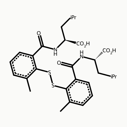 Cc1cccc(C(=O)N[C@@H](CC(C)C)C(=O)O)c1SSc1c(C)cccc1C(=O)N[C@@H](CC(C)C)C(=O)O